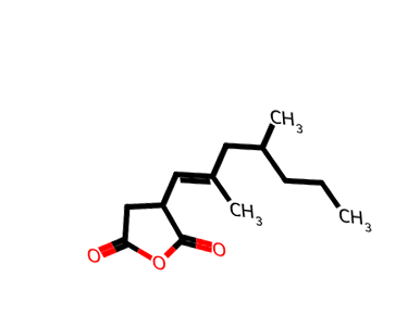 CCCC(C)C/C(C)=C/C1CC(=O)OC1=O